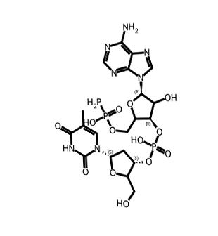 Cc1cn([C@@H]2C[C@H](OP(=O)(O)O[C@H]3C(COP(=O)(O)P)O[C@@H](n4cnc5c(N)ncnc54)C3O)C(CO)O2)c(=O)[nH]c1=O